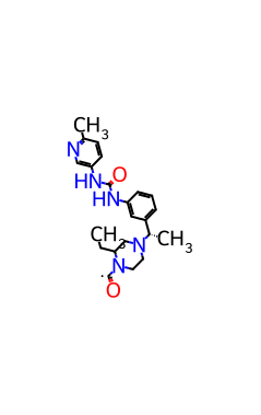 CCC1CN([C@@H](C)c2cccc(NC(=O)Nc3ccc(C)nc3)c2)CCN1[C]=O